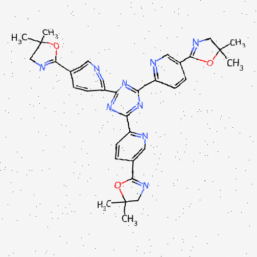 CC1(C)CN=C(c2ccc(-c3nc(-c4ccc(C5=NCC(C)(C)O5)cn4)nc(-c4ccc(C5=NCC(C)(C)O5)cn4)n3)nc2)O1